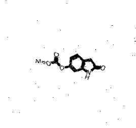 COC(=O)Oc1ccc2c(c1)NC(=O)C2